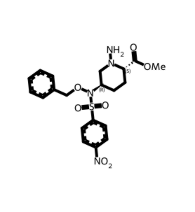 COC(=O)[C@@H]1CC[C@@H](N(OCc2ccccc2)S(=O)(=O)c2ccc([N+](=O)[O-])cc2)CN1N